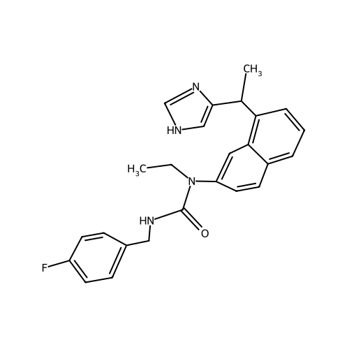 CCN(C(=O)NCc1ccc(F)cc1)c1ccc2cccc(C(C)c3c[nH]cn3)c2c1